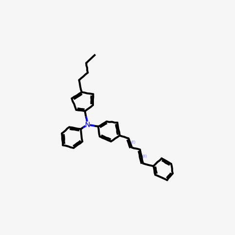 CCCCc1ccc(N(c2ccccc2)c2ccc(/C=C/C=C/c3ccccc3)cc2)cc1